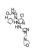 NC(=O)[C@@H]1[C@H](Nc2nc(Nc3cnn(CCN4CCOCC4)c3)ncc2Cl)[C@H]2C=C[C@@H]1C2